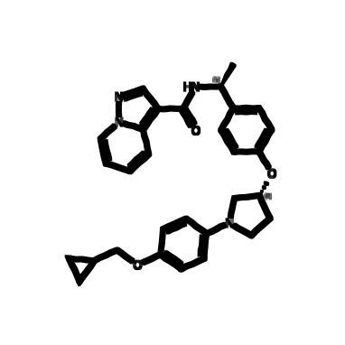 C[C@H](NC(=O)c1cnn2ccccc12)c1ccc(O[C@@H]2CCN(c3ccc(OCC4CC4)cc3)C2)cc1